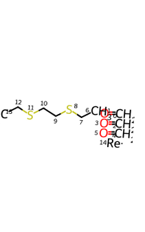 C=O.C=O.C=O.CCSCCSCC.[Re]